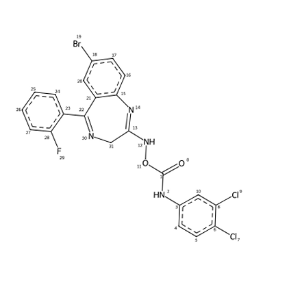 O=C(Nc1ccc(Cl)c(Cl)c1)ONC1=Nc2ccc(Br)cc2C(c2ccccc2F)=NC1